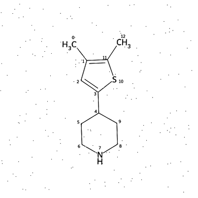 Cc1cc(C2CCNCC2)sc1C